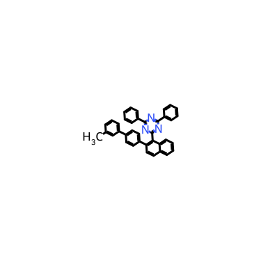 Cc1cccc(-c2ccc(-c3ccc4ccccc4c3-c3nc(-c4ccccc4)nc(-c4ccccc4)n3)cc2)c1